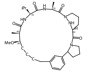 CO[C@@H]1CCCCc2cccc(c2)C2CCCN2C(=O)[C@@H]2CCCN(N2)C(=O)[C@H](C)NC(=O)[C@H](C(C)C)NC(=O)[C@@H]1C